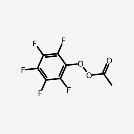 CC(=O)OOc1c(F)c(F)c(F)c(F)c1F